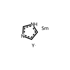 [Sm].[Y].c1c[nH]cn1